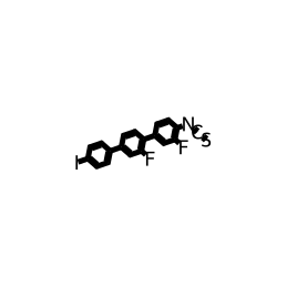 Fc1cc(-c2ccc(-c3ccc(I)cc3)cc2F)ccc1N=C=S